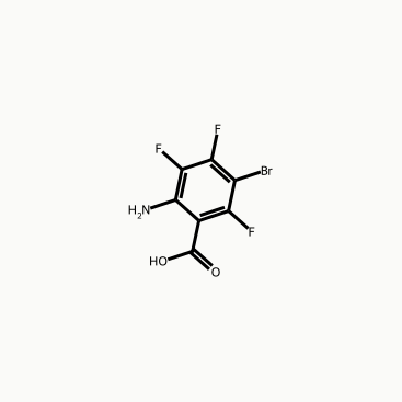 Nc1c(F)c(F)c(Br)c(F)c1C(=O)O